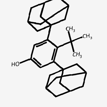 CC(C)(C)c1c(C23CC4CC(CC(C4)C2)C3)cc(O)cc1C12CC3CC(CC(C3)C1)C2